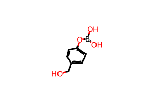 OCc1ccc(OB(O)O)cc1